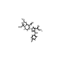 COCCC1[C@@H](C#N)[C@H](n2cc(C(N)=O)c(Nc3ccc(F)cc3)n2)CCN1C(=O)O